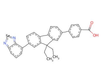 CCC1(CC)c2cc(-c3ccc(C(=O)O)cc3)ccc2-c2ccc(-c3cccc4n[se]nc34)cc21